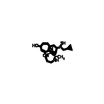 C[S@@]12NCCCC[C@@]13C1=C(C=CC(O)C=C1O)CC(N(S)CC1CC1)[C@@]32N=O